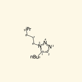 CCCCc1cnnn1CCCC(C)C